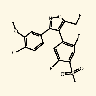 COc1cc(-c2noc(CF)c2-c2cc(F)c(S(C)(=O)=O)cc2F)ccc1Cl